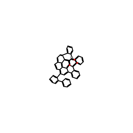 c1ccc(B2c3ccccc3-c3ccc4ccc5c(-c6ccccc6-c6ccccc6)cc(-c6ccccc6-c6ccccc6)c6cc2c3c4c56)cc1